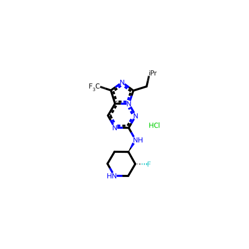 CC(C)Cc1nc(C(F)(F)F)c2cnc(N[C@@H]3CCNC[C@H]3F)nn12.Cl